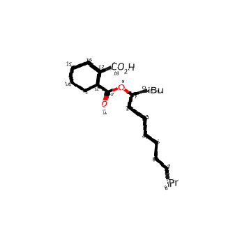 CCC(C)C(CCCCCCC(C)C)OC(=O)C1CCCCC1C(=O)O